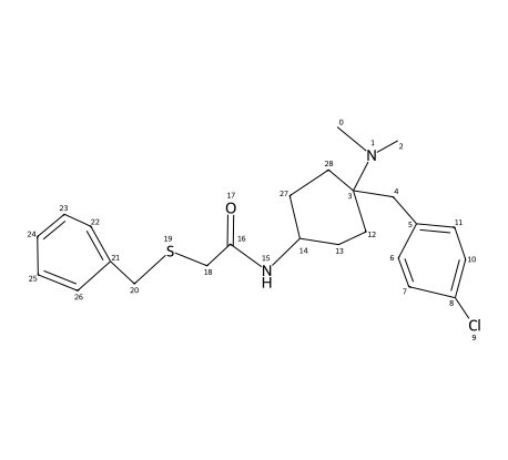 CN(C)C1(Cc2ccc(Cl)cc2)CCC(NC(=O)CSCc2ccccc2)CC1